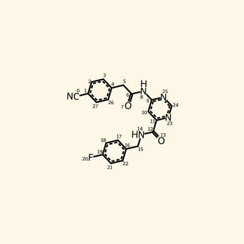 N#Cc1ccc(CC(=O)Nc2cc(C(=O)NCc3ccc(F)cc3)ncn2)cc1